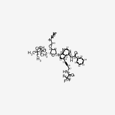 CC(C)(C)[Si](C)(C)OC[C@H]1O[C@@H](n2cc(C#CCNC(=O)C(F)(F)F)c3c(NC(=O)c4ccccc4)ncnc32)CC1OCN=[N+]=[N-]